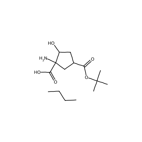 CC(C)(C)OC(=O)C1CC(O)C(N)(C(=O)O)C1.CCCC